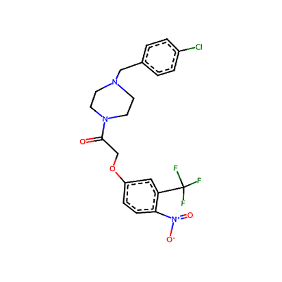 O=C(COc1ccc([N+](=O)[O-])c(C(F)(F)F)c1)N1CCN(Cc2ccc(Cl)cc2)CC1